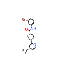 O=C(Nc1cccc(Br)c1)c1ccc(-c2cc(C(F)(F)F)ccn2)cc1